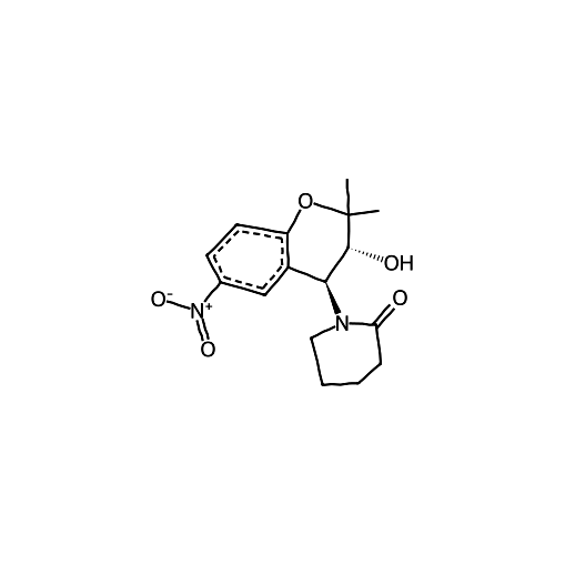 CC1(C)Oc2ccc([N+](=O)[O-])cc2[C@H](N2CCCCC2=O)[C@H]1O